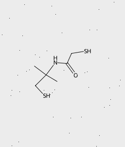 CC(C)(CS)NC(=O)CS